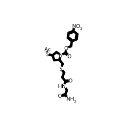 CC(=O)SC1CC(CSCCC(=O)NCC(N)=O)N(C(=O)OCc2ccc([N+](=O)[O-])cc2)C1